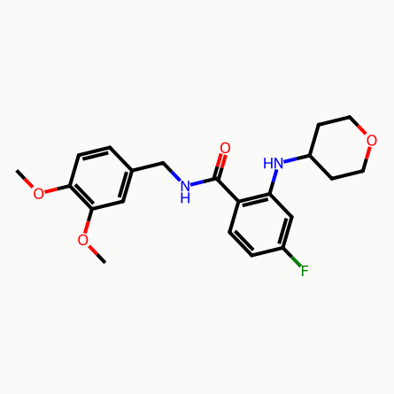 COc1ccc(CNC(=O)c2ccc(F)cc2NC2CCOCC2)cc1OC